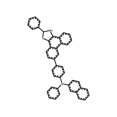 c1ccc(C2Nc3c(c4ccc(-c5ccc(N(c6ccccc6)c6ccc7ccccc7c6)cc5)cc4c4ccccc34)S2)cc1